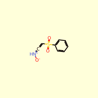 O=S(=O)(C=C=[NH+][O-])c1ccccc1